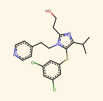 CC(C)c1nc(CCO)n(CCc2ccncc2)c1Sc1cc(Cl)cc(Cl)c1